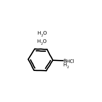 Bc1ccccc1.Cl.O.O